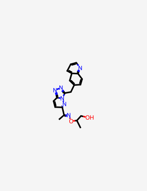 CC(=NOC(C)CO)c1ccc2nnc(Cc3ccc4ncccc4c3)n2n1